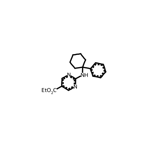 CCOC(=O)c1cnc(NC2(c3ccccc3)CCCCC2)nc1